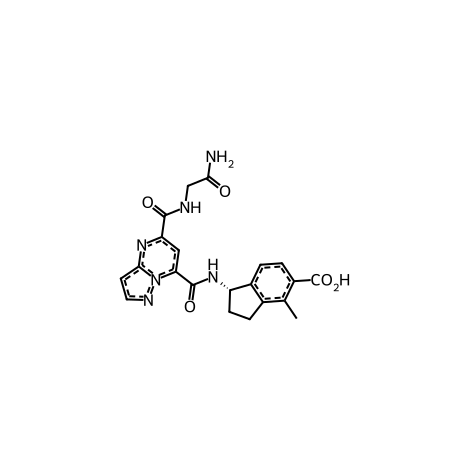 Cc1c(C(=O)O)ccc2c1CC[C@@H]2NC(=O)c1cc(C(=O)NCC(N)=O)nc2ccnn12